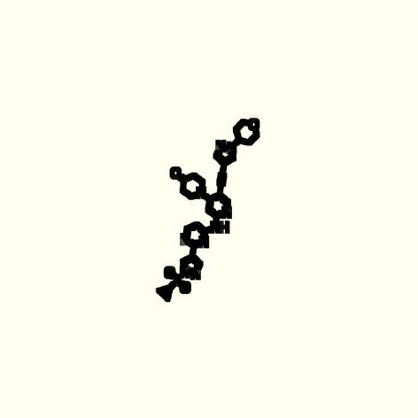 O=C1CCN(c2cc(Nc3ccnc(-c4cnn(S(=O)(=O)C5CC5)c4)n3)ncc2C#Cc2cnn(C3CCOCC3)c2)CC1